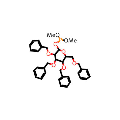 COP(OC)OC1OC(COCc2ccccc2)C(OCc2ccccc2)C(OCc2ccccc2)C1OCc1ccccc1